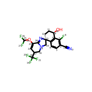 N#Cc1ccc2c(c1F)[C@H](O)CC[C@@]21CN2CC(C(F)(F)F)C=C(OC(F)F)C2=N1